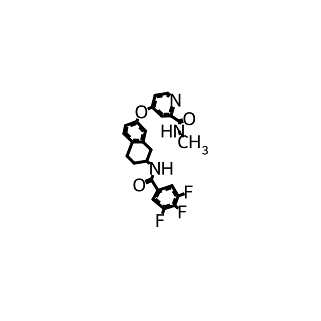 CNC(=O)c1cc(Oc2ccc3c(c2)CC(NC(=O)c2cc(F)c(F)c(F)c2)CC3)ccn1